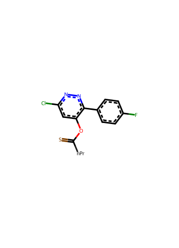 CCCC(=S)Oc1cc(Cl)nnc1-c1ccc(F)cc1